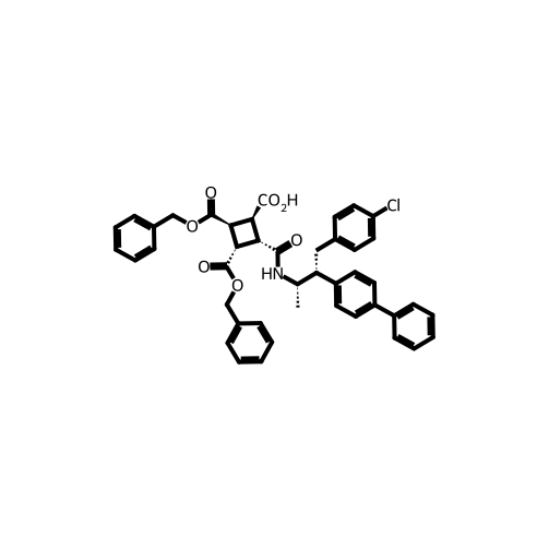 C[C@H](NC(=O)[C@H]1[C@H](C(=O)O)[C@H](C(=O)OCc2ccccc2)[C@H]1C(=O)OCc1ccccc1)[C@H](Cc1ccc(Cl)cc1)c1ccc(-c2ccccc2)cc1